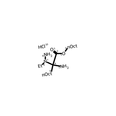 CCCCCCCCOC(=O)C(N)(CCCCCCCC)N(N)CC.Cl